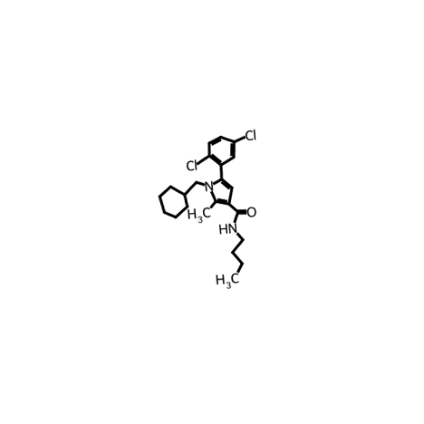 CCCCNC(=O)c1cc(-c2cc(Cl)ccc2Cl)n(CC2CCCCC2)c1C